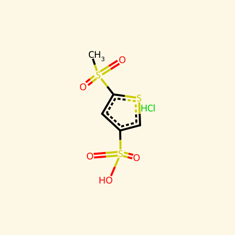 CS(=O)(=O)c1cc(S(=O)(=O)O)cs1.Cl